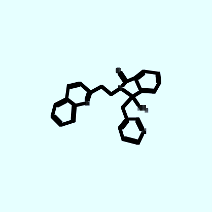 NC1(Cc2cccnc2)c2ccccc2C(=O)N1CCc1ccc2ccccc2n1